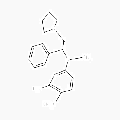 Cc1cc(N(C)[C@H](CN2CCCC2)c2ccccc2)ccc1C(=O)O